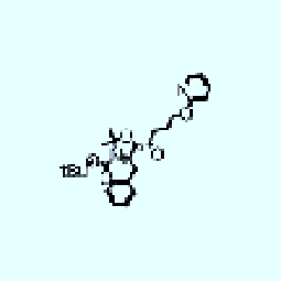 CC(C)(C)OC(=O)N1[C@H](Cc2ccccc2)[C@@H](C(=O)CCCOc2ccccn2)OC1(C)C